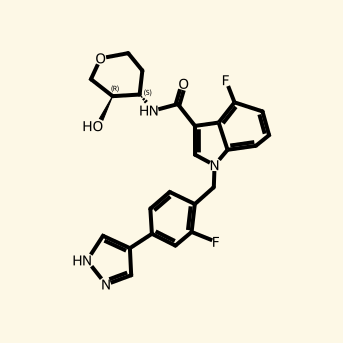 O=C(N[C@H]1CCOC[C@@H]1O)c1cn(Cc2ccc(-c3cn[nH]c3)cc2F)c2cccc(F)c12